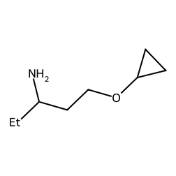 CCC(N)CCOC1CC1